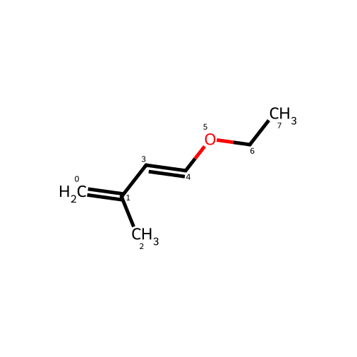 C=C(C)C=COCC